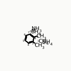 B.C.Cc1ccccc1C.N.[SiH4]